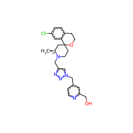 C[C@H]1CC2(CCN1Cc1cn(Cc3ccnc(CO)c3)nn1)OCCc1ccc(Cl)cc12